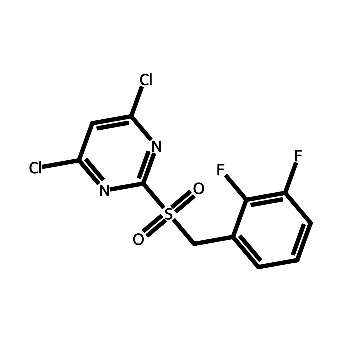 O=S(=O)(Cc1cccc(F)c1F)c1nc(Cl)cc(Cl)n1